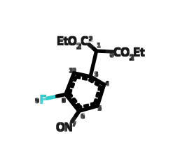 CCOC(=O)C(C(=O)OCC)c1ccc(N=O)c(F)c1